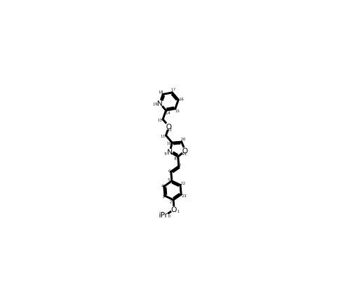 CC(C)Oc1ccc(C=Cc2nc(COCc3ccccn3)co2)cc1